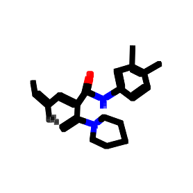 C=C(/C(=C\C(=C/C)C(F)(F)F)C(=O)Nc1ccc(C)c(C)c1)N1CCCCC1